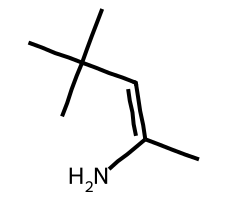 CC(N)=CC(C)(C)C